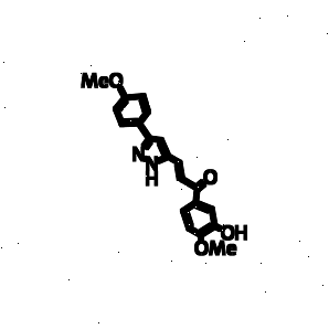 COc1ccc(-c2cc(C=CC(=O)c3ccc(OC)c(O)c3)[nH]n2)cc1